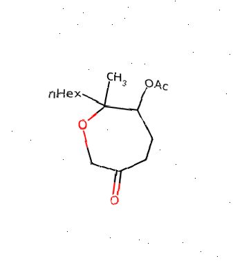 CCCCCCC1(C)OCC(=O)CCC1OC(C)=O